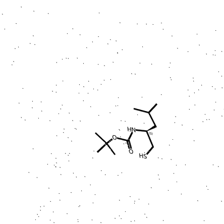 CC(C)C[C@@H](CS)NC(=O)OC(C)(C)C